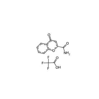 NC(=O)c1cc(=O)c2ccccc2o1.O=C(O)C(F)(F)F